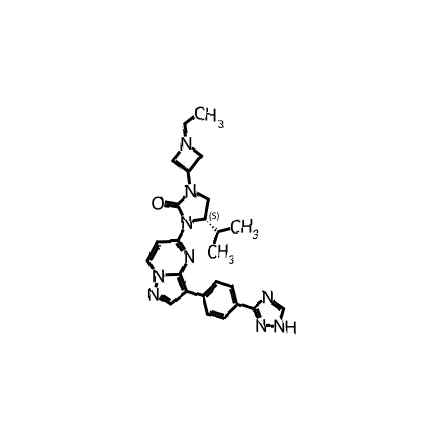 CCN1CC(N2C[C@H](C(C)C)N(c3ccn4ncc(-c5ccc(-c6nc[nH]n6)cc5)c4n3)C2=O)C1